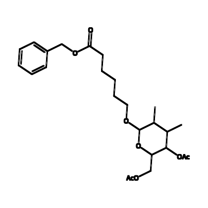 CC(=O)OCC1OC(OCCCCCC(=O)OCc2ccccc2)C(C)C(C)C1OC(C)=O